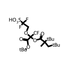 CC(C)(C)CC(C)(C(=O)OC(OCC(F)(F)S(=O)(=O)O)(C(=O)OC(C)(C)C)C(F)(F)F)C(C)(C)C